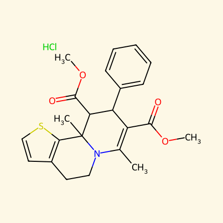 COC(=O)C1=C(C)N2CCc3ccsc3C2(C)C(C(=O)OC)C1c1ccccc1.Cl